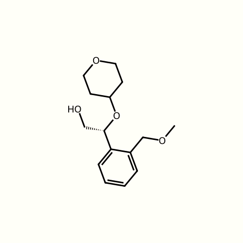 COCc1ccccc1[C@H](CO)OC1CCOCC1